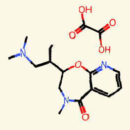 CC(CN(C)C)C1CN(C)C(=O)c2cccnc2O1.O=C(O)C(=O)O